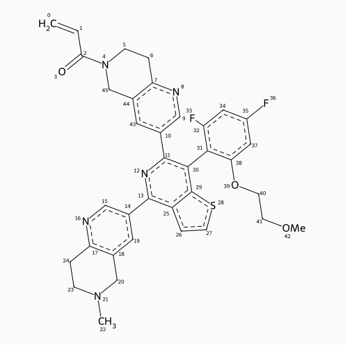 C=CC(=O)N1CCc2ncc(-c3nc(-c4cnc5c(c4)CN(C)CC5)c4ccsc4c3-c3c(F)cc(F)cc3OCCOC)cc2C1